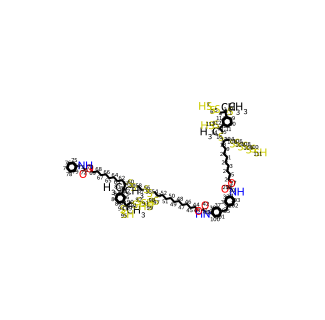 CSC(C)(CSSS)c1cccc(C(C)(CSC(CCCCCCCCCOC(=O)Nc2ccc(Cc3ccc(NC(=O)OCCCCCCCCCC(CSSCCSSC(CCCCCCCCOC(=O)Nc4ccccc4)C(C)(C)c4cccc(C(C)(CSSS)SS)c4)SSS)cc3)cc2)CSSSSSSS)SS)c1